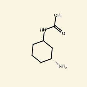 N[C@@H]1CCCC(NC(=O)O)C1